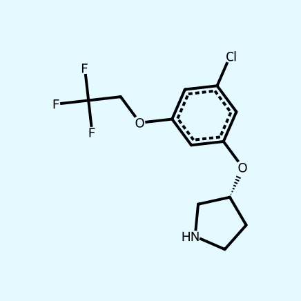 FC(F)(F)COc1cc(Cl)cc(O[C@@H]2CCNC2)c1